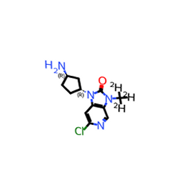 [2H]C([2H])([2H])n1c(=O)n([C@@H]2CC[C@@H](N)C2)c2cc(Cl)ncc21